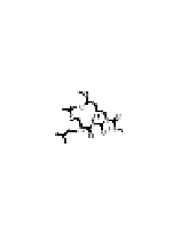 CNC(=O)N(CCCC(=O)OC)C(=O)N(O)C(=O)[C@H](CCC(C)C)CSC(C)=O